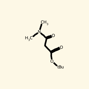 CN(C)C(=O)CC(=O)OC(C)(C)C